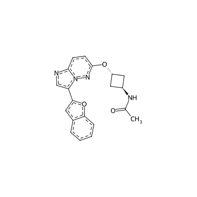 CC(=O)N[C@H]1C[C@H](Oc2ccc3ncc(-c4cc5ccccc5o4)n3n2)C1